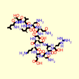 CC[C@H](C)[C@H](NC(=O)[C@@H](NC(=O)[C@@H](NC(=O)[C@@H](N)CC(C)C)[C@@H](C)O)C(C)C)C(=O)N[C@@H](CC(N)=O)C(=O)N[C@@H](CCC(N)=O)C(=O)N[C@H](C(=O)N[C@@H](CCC(N)=O)C(=O)N[C@@H](CCCCN)C(=O)N[C@@H](CCC(=O)O)C(=O)N[C@@H](CC(N)=O)C(=O)N[C@@H](CC(C)C)C(=O)N[C@@H](CCCNC(=N)N)C(=O)O)[C@@H](C)O